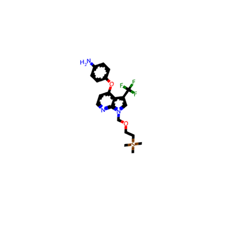 CS(C)(C)CCOCn1cc(C(F)(F)F)c2c(Oc3ccc(N)cc3)ccnc21